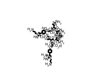 Cn1c(-c2ccc(OC[C@](C)(O/N=C(\C(=O)N[C@@H]3C(=O)N(OS(=O)(=O)ON4C(=O)[C@@H](NC(=O)/C(=N\O[C@@](C)(COc5ccc(-c6cn(CCCN)c(=N)n6C)cc5)C(=O)O)c5csc(N)n5)C4(C)C)C3(C)C)c3csc(N)n3)C(=O)O)cc2)cn(CCCN)c1=N